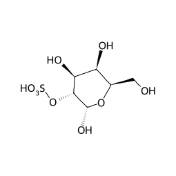 O=S(=O)(O)O[C@@H]1[C@@H](O)[C@@H](O)[C@@H](CO)O[C@@H]1O